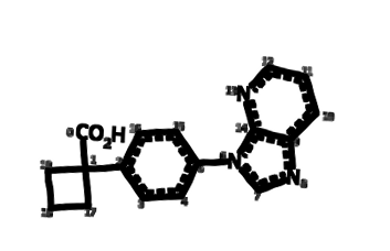 O=C(O)C1(c2ccc(-n3cnc4cccnc43)cc2)CCC1